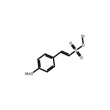 CCOS(=O)(=O)/C=C/c1ccc(OC)cc1